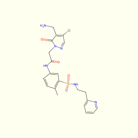 Cc1ccc(NC(=O)Cn2ncc(Cl)c(CN)c2=O)cc1S(=O)(=O)NCCc1ccccn1